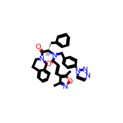 Cc1noc(C)c1C=CC(=O)N(Cc1ccc(-n2ccnn2)cc1)[C@@H](Cc1ccccc1)C(=O)N1CCc2ccccc2C1